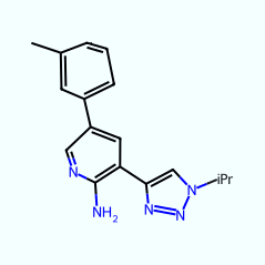 Cc1[c]ccc(-c2cnc(N)c(-c3cn(C(C)C)nn3)c2)c1